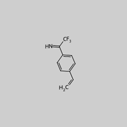 C=Cc1ccc(C(=N)C(F)(F)F)cc1